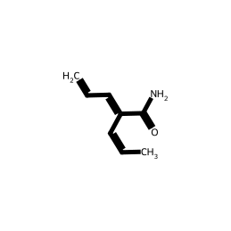 C=C/C=C(\C=C/C)C(N)=O